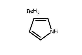 [BeH2].c1cc[nH]c1